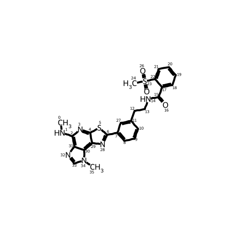 CNc1nc2sc(-c3cccc(CCNC(=O)c4ccccc4S(C)(=O)=O)c3)nc2c2c1ncn2C